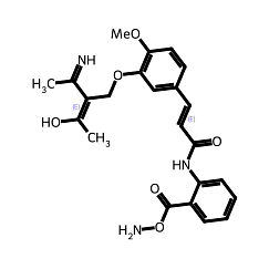 COc1ccc(/C=C/C(=O)Nc2ccccc2C(=O)ON)cc1OC/C(C(C)=N)=C(\C)O